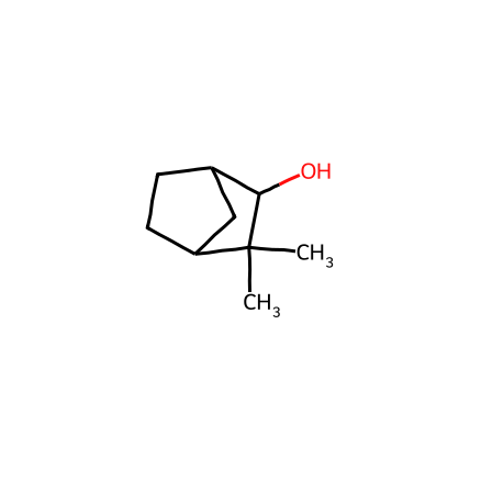 CC1(C)C2CCC(C2)C1O